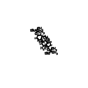 C=C[C@@]12CCc3cc(O[Si](C)(C)C(C)(C)C)ccc3[C@H]1CC[C@]1(C)[C@@H](O[Si](C)(C)C(C)(C)C)CC[C@H]12